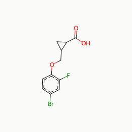 O=C(O)C1CC1COc1ccc(Br)cc1F